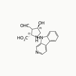 O=CC1[C@@H](C(=O)O)NC[C@@H]1O.c1ccc2c(c1)[nH]c1cnccc12